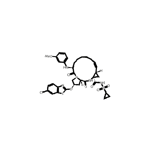 COc1cccc(N[C@H]2CCCCC/C=C\[C@@H]3C[C@@]3(C(=O)NS(=O)(=O)C3CC3)NC(=O)[C@@H]3C[C@@H](Oc4nc5ccc(Cl)cc5s4)CN3C2=O)c1